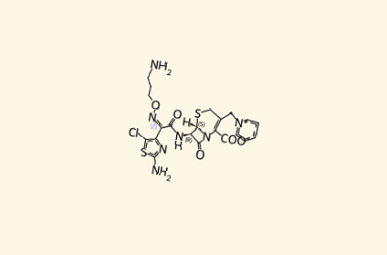 NCCCO/N=C(\C(=O)N[C@@H]1C(=O)N2C(C(=O)[O-])=C(C[n+]3ccccc3)CS[C@@H]12)c1nc(N)sc1Cl